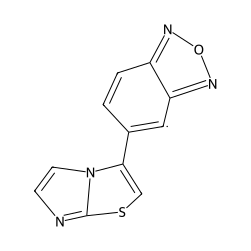 [c]1c(-c2csc3nccn23)ccc2nonc12